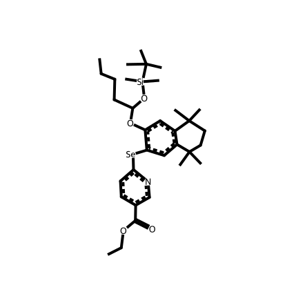 CCCCC(Oc1cc2c(cc1[Se]c1ccc(C(=O)OCC)cn1)C(C)(C)CCC2(C)C)O[Si](C)(C)C(C)(C)C